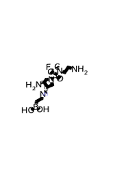 NCCN(C(F)(F)F)S(=O)(=O)N1C[C@H](N)[C@@H](/C=N/CCB(O)O)C1